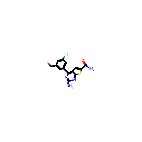 NC(=O)c1cc2c(-c3cc(Cl)cc(CI)c3)nc(N)nc2s1